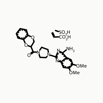 C=CC(=O)O.COc1cc2nc(N3CCN(C(=O)C4COc5ccccc5O4)CC3)nc(N)c2cc1OC.CS(=O)(=O)O